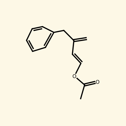 C=C(C=COC(C)=O)Cc1ccccc1